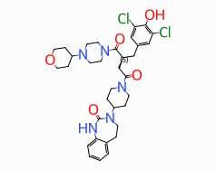 O=C(C[C@H](Cc1cc(Cl)c(O)c(Cl)c1)C(=O)N1CCN(C2CCOCC2)CC1)N1CCC(N2CCc3ccccc3NC2=O)CC1